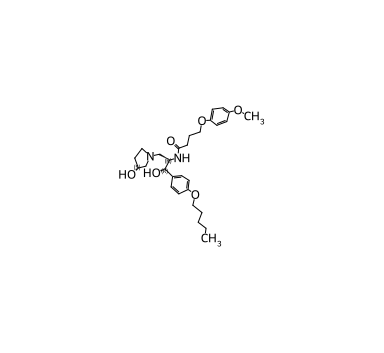 CCCCCOc1ccc([C@@H](O)[C@@H](CN2CC[C@H](O)C2)NC(=O)CCCOc2ccc(OC)cc2)cc1